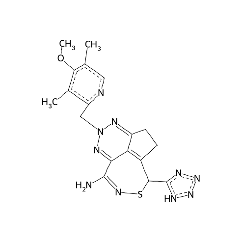 COc1c(C)cnc(CN2N=C3CCC4=C3C(=N2)C(N)=NSC4c2nnn[nH]2)c1C